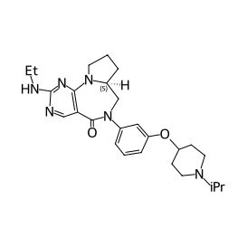 CCNc1ncc2c(n1)N1CCC[C@H]1CN(c1cccc(OC3CCN(C(C)C)CC3)c1)C2=O